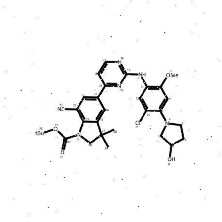 COc1cc(N2CCC(O)C2)c(Cl)cc1Nc1nccc(-c2cc(C#N)c3c(c2)C(C)(C)CN3C(=O)OC(C)(C)C)n1